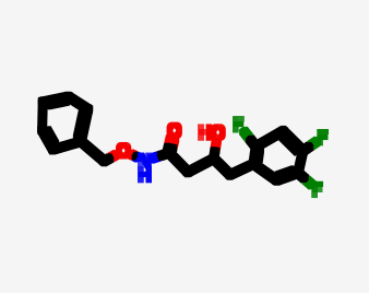 O=C(CC(O)Cc1cc(F)c(F)cc1F)NOCc1ccccc1